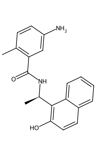 Cc1ccc(N)cc1C(=O)N[C@H](C)c1c(O)ccc2ccccc12